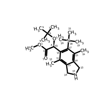 COC(=O)[C@@H](OC(C)(C)C)c1c(C)c2c(c(C)c1[Si](C)(C)C)CNC2